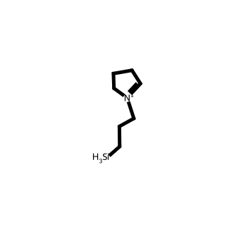 [SiH3]CCC[N+]1=CCCC1